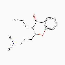 CCN(CC)CCCC1Oc2ccccc2C(=O)C1CCC(C)=O